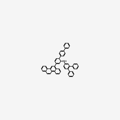 C1=CC(c2ccc(-c3ccccc3)cc2)C(Nc2ccc(-c3ccccc3)c(-c3ccccc3)c2)C=C1c1cc2c3ccccc3ccc2c2ccccc12